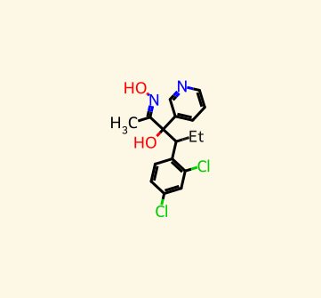 CCC(c1ccc(Cl)cc1Cl)C(O)(C(C)=NO)c1cccnc1